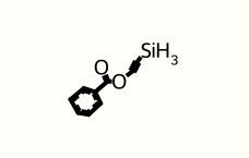 O=C(OC#C[SiH3])c1ccccc1